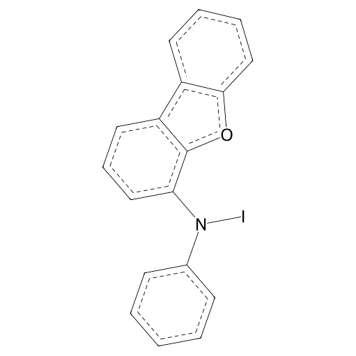 IN(c1ccccc1)c1cccc2c1oc1ccccc12